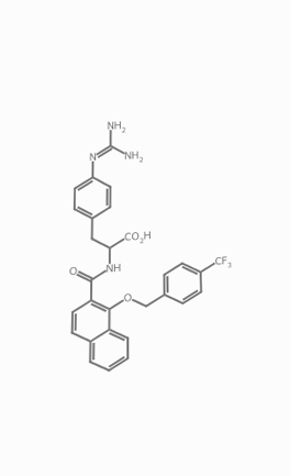 NC(N)=Nc1ccc(CC(NC(=O)c2ccc3ccccc3c2OCc2ccc(C(F)(F)F)cc2)C(=O)O)cc1